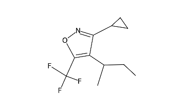 CCC(C)c1c(C2CC2)noc1C(F)(F)F